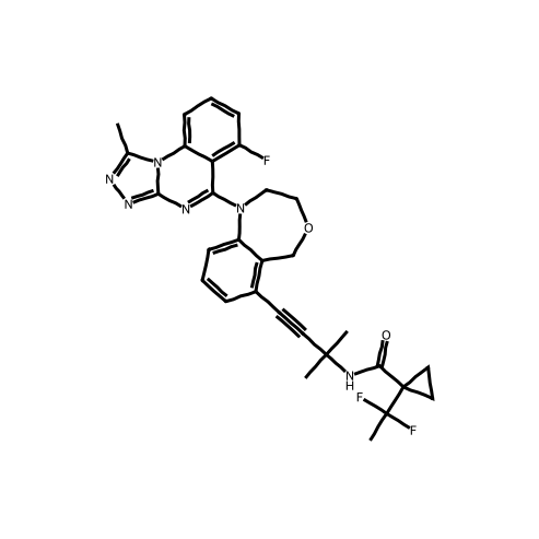 Cc1nnc2nc(N3CCOCc4c(C#CC(C)(C)NC(=O)C5(C(C)(F)F)CC5)cccc43)c3c(F)cccc3n12